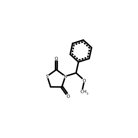 COC(c1ccccc1)N1C(=O)CSC1=O